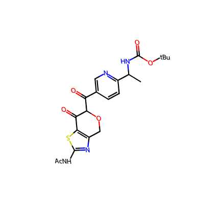 CC(=O)Nc1nc2c(s1)C(=O)C(C(=O)c1ccc(C(C)NC(=O)OC(C)(C)C)nc1)OC2